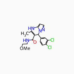 COCCNC(=O)C1=C(C)Nc2ccnn2C1c1ccc(Cl)c(Cl)c1